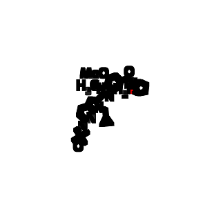 COc1cc(C(=O)N2CC3CCC2[C@@H]3N)cc2nc(-c3cc4ccc(N5CC6(COC6)C5)nc4n3CC3CC3)n(C)c12